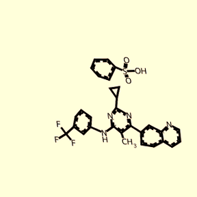 Cc1c(Nc2cccc(C(F)(F)F)c2)nc(C2CC2)nc1-c1ccc2cccnc2c1.O=S(=O)(O)c1ccccc1